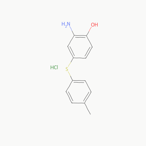 Cc1ccc(Sc2ccc(O)c(N)c2)cc1.Cl